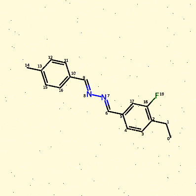 CCc1ccc(/C=N/N=C/c2ccc(C)cc2)cc1F